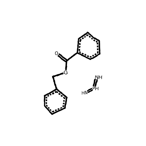 N=[PH]=N.O=C(OCc1ccccc1)c1ccccc1